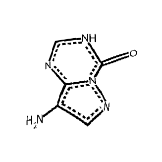 Nc1cnn2c(=O)[nH]cnc12